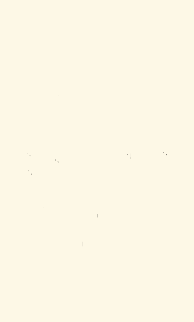 CC(C)c1cc(-c2nnc(-c3cc(C(C)C)c(O)cc3O)n2-c2ccc(N3CCN(C)CC3)cc2)c(O)cc1O